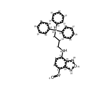 O=Nc1ccc(NCCC[PH](c2ccccc2)(c2ccccc2)c2ccccc2)c2nonc12